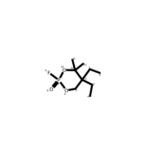 CCC1(CC)COP(=O)(F)OC1(C)C